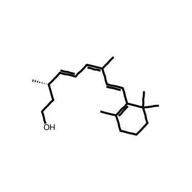 CC1=C(/C=C/C(C)=C\C=C\[C@@H](C)CCO)C(C)(C)CCC1